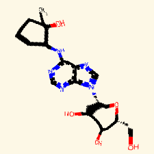 CC1(O)CCCC1Nc1ncnc2c1ncn2[C@@H]1O[C@H](CO)C(O)C1O